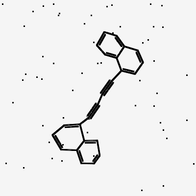 C(C#Cc1cccc2ccccc12)#Cc1cccc2ccccc12